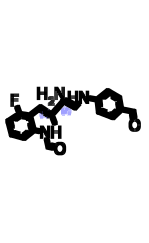 CC(=C\c1c(F)cccc1NC=O)/C(N)=C/Nc1ccc(C=O)cc1